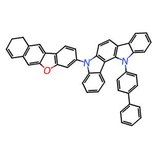 C1=Cc2cc3oc4cc(-n5c6ccccc6c6c5ccc5c7ccccc7n(-c7ccc(-c8ccccc8)cc7)c56)ccc4c3cc2CC1